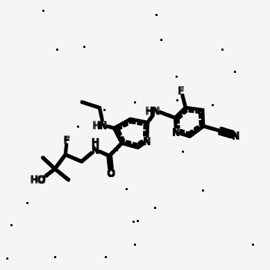 CCNc1cc(Nc2ncc(C#N)cc2F)ncc1C(=O)NCC(F)C(C)(C)O